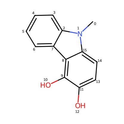 Cn1c2ccccc2c2c(O)c(O)ccc21